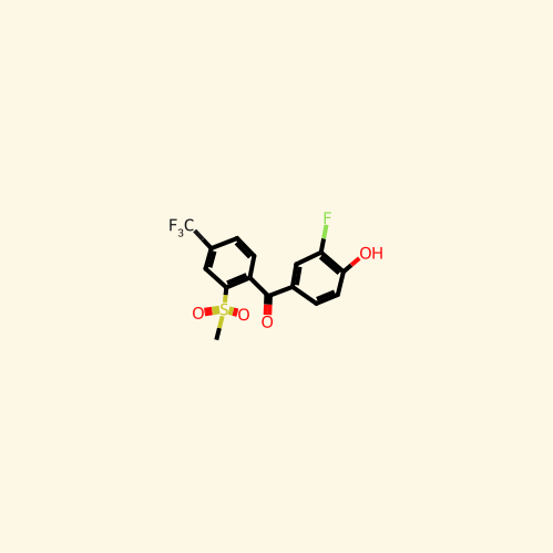 CS(=O)(=O)c1cc(C(F)(F)F)ccc1C(=O)c1ccc(O)c(F)c1